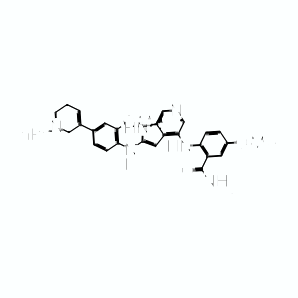 CCCN1CCC=C(c2ccc(Nc3cc4c(Nc5ccc(OC)cc5C(N)=O)cncc4[nH]3)c(OC)c2)C1